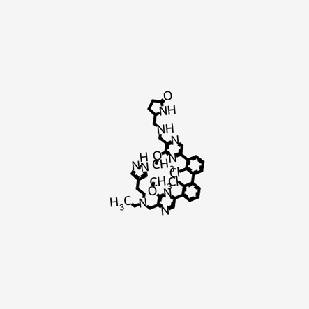 CCN(CCc1cn[nH]c1)Cc1ncc(-c2cccc(-c3cccc(-c4cnc(CNCC5CCC(=O)N5)c(OC)n4)c3Cl)c2Cl)nc1OC